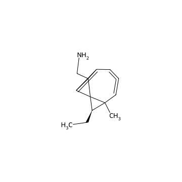 CC[C@@H]1C2(C)C=C=CC3=C4C3(CN)C412